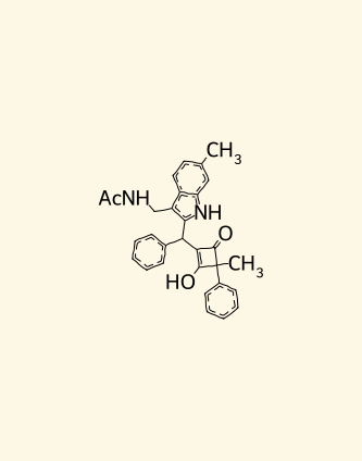 CC(=O)NCc1c(C(C2=C(O)C(C)(c3ccccc3)C2=O)c2ccccc2)[nH]c2cc(C)ccc12